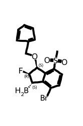 B[C@H]1c2c(Br)ccc(S(C)(=O)=O)c2[C@H](OCc2ccccc2)[C@@H]1F